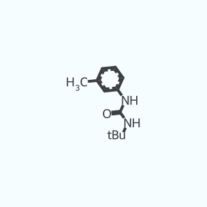 Cc1cccc(NC(=O)NC(C)(C)C)c1